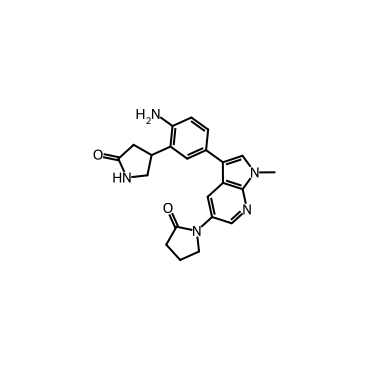 Cn1cc(-c2ccc(N)c(C3CNC(=O)C3)c2)c2cc(N3CCCC3=O)cnc21